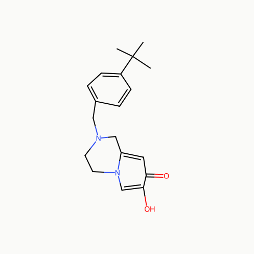 CC(C)(C)c1ccc(CN2CCn3cc(O)c(=O)cc3C2)cc1